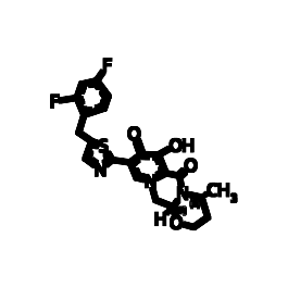 C[C@H]1CCO[C@@H]2Cn3cc(-c4ncc(Cc5ccc(F)cc5F)s4)c(=O)c(O)c3C(=O)N12